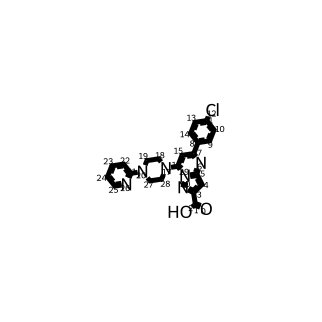 O=C(O)c1cc2nc(-c3ccc(Cl)cc3)cc(N3CCN(c4ccccn4)CC3)n2n1